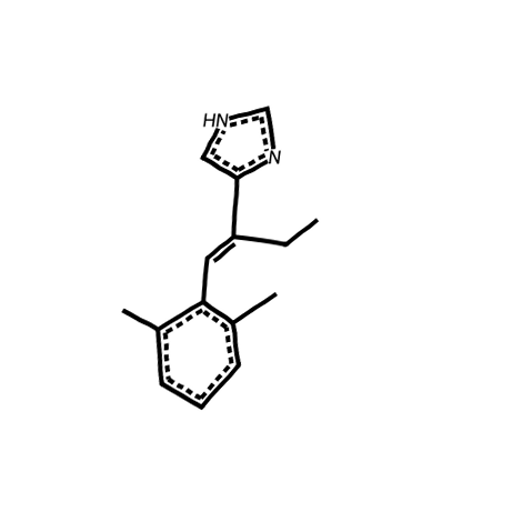 CCC(=Cc1c(C)cccc1C)c1c[nH]cn1